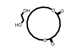 O=C1CCCCC(=O)OCCCCCCCCCCO1.OCCO